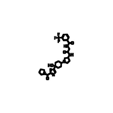 O=C(CNC(=O)c1cccc(C(F)(F)F)c1)NC1CCN(C2CCC(O)(c3cnc(C(=O)N4CCCC4)s3)CC2)C1